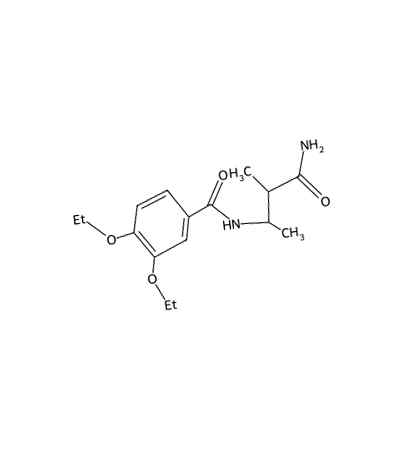 CCOc1ccc(C(=O)NC(C)C(C)C(N)=O)cc1OCC